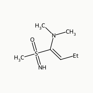 CC/C=C(\N(C)C)S(C)(=N)=O